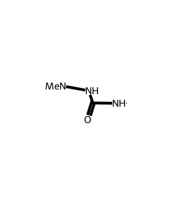 CNNC([NH])=O